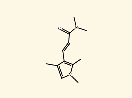 Cc1cn(C)c(C)c1C=CC(=O)N(C)C